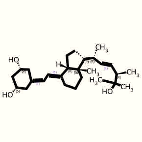 C[C@H](/C=C/[C@@H](C)C(C)(C)O)[C@H]1CC[C@H]2/C(=C/C=C3\C[C@@H](O)C[C@@H](O)C3)CCC[C@@]12C